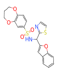 O=S(=O)(NC(c1cc2ccccc2o1)c1nccs1)c1ccc2c(c1)OCCCO2